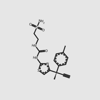 C#C[C@@](C)(c1ccc(C)cc1)c1csc(NC(=O)NCCS(N)(=O)=O)n1